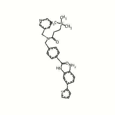 C[Si](C)(C)CCC(=O)N(Cc1ccc(C(=O)Nc2cc(-c3cccs3)ccc2N)cc1)Cc1cccnc1